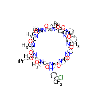 CC[C@H](C)[C@@H]1NC(=O)[C@H](CC(C)C)N(C)C(=O)C[C@@H](C(=O)N2CCCCC2)N(C)C(=O)[C@H](C2CCCCC2)N(C)C(=O)C2(CCCC2)NC(=O)[C@@H]2CCCN2C(=O)[C@H](CCc2ccc(C(F)(F)F)c(Cl)c2)NC(=O)CN(C)C(=O)[C@H](COCCC(C)C)N(C)C(=O)CN(C)C(=O)CN(C)C1=O